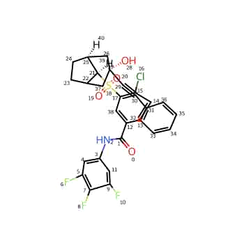 O=C(Nc1cc(F)c(F)c(F)c1)c1ccc(Cl)c(S(=O)(=O)[C@H]2C3CC[C@H]2C[C@@](O)(C#Cc2ccccc2)C3)c1